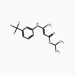 CC(=CC(=O)OC(C)C)Nc1cccc(C(F)(F)F)c1